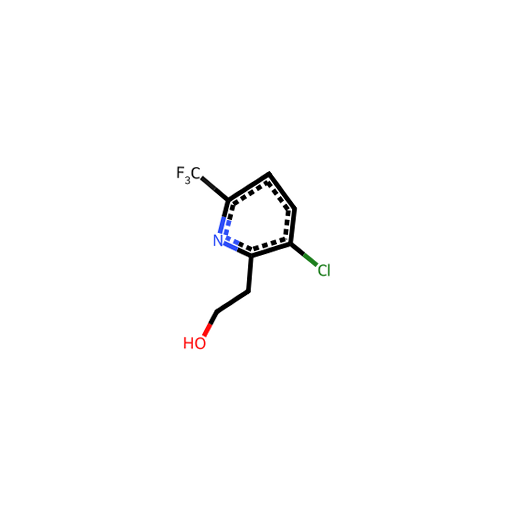 OCCc1nc(C(F)(F)F)ccc1Cl